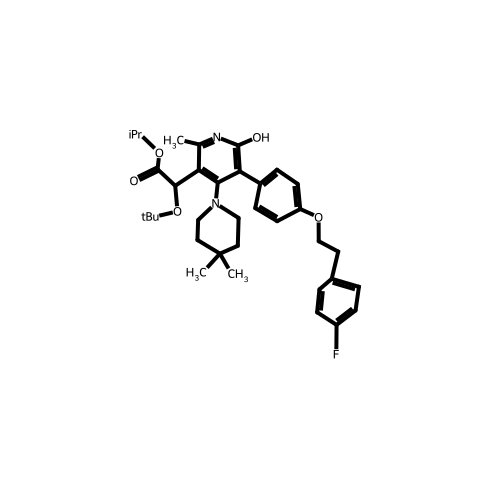 Cc1nc(O)c(-c2ccc(OCCc3ccc(F)cc3)cc2)c(N2CCC(C)(C)CC2)c1C(OC(C)(C)C)C(=O)OC(C)C